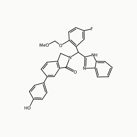 COCOc1ccc(F)cc1C(c1nc2ccccc2[nH]1)N1Cc2ccc(-c3ccc(O)cc3)cc2C1=O